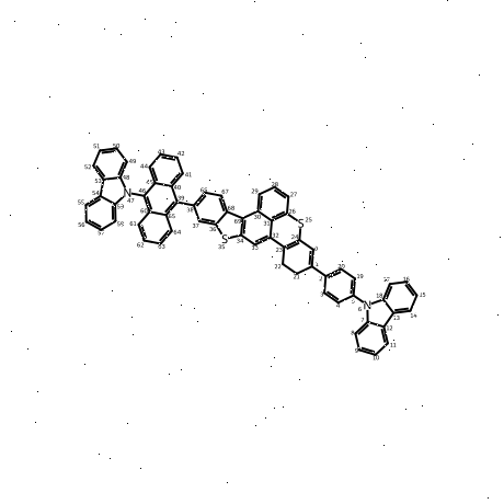 C1=C(c2ccc(-n3c4ccccc4c4ccccc43)cc2)CCC2=C1Sc1cccc3c1c2cc1sc2cc(-c4c5ccccc5c(-n5c6ccccc6c6ccccc65)c5ccccc45)ccc2c13